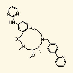 CO[C@H]1CN(C)C2OC2c2cc(Nc3ncccn3)ccc2OCCN(Cc2ccc(-c3ccccn3)cc2)C[C@@H]1C